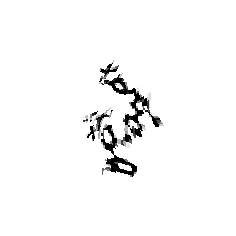 CCn1nc(Cc2ccc(OC(C)(C)C)cc2)cc1C1CCN(C[C@H]2CN([C@@H](C(=O)O)C(C)(C)C)C[C@@H]2c2cccc(F)c2)CC1